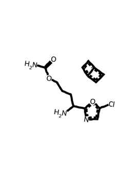 NC(=O)OCCCC(N)c1ncc(Cl)o1.c1cc2ccc1-2